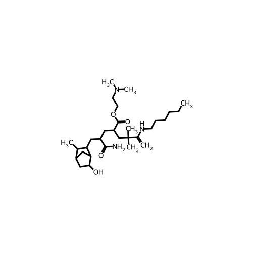 C=C(NCCCCCC)C(C)(C)CC(CC(CC1C(C)C2CC(O)C1C2)C(N)=O)C(=O)OCCN(C)C